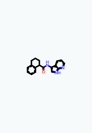 O=C(Nc1c[nH]c2ncccc12)C1CCCc2ccccc21